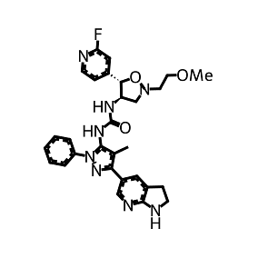 COCCN1C[C@@H](NC(=O)Nc2c(C)c(-c3cnc4c(c3)CCN4)nn2-c2ccccc2)[C@H](c2ccnc(F)c2)O1